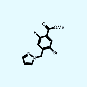 COC(=O)c1cc(Br)c(Cn2cccn2)cc1F